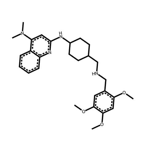 COc1cc(OC)c(OC)cc1CNCC1CCC(Nc2cc(N(C)C)c3ccccc3n2)CC1